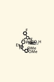 CCn1nc(Cc2ccc(OC)c(OC)c2)cc1C1CCN(CC2CC(N(C)[C@@H](C(=O)O)C(C)C)CC2c2cccc(F)c2)CC1.Cl.Cl.Cl